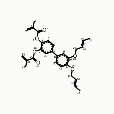 C=C(C)C(=O)Oc1ccc(-c2ccc(OC/C=C/C)c(OC/C=C/C)c2)cc1OC(=O)C(=C)C